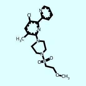 COCCS(=O)(=O)N1CCN(c2nc(-c3ccccn3)c(Cl)cc2C)CC1